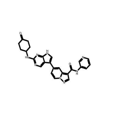 O=C1CCC(Nc2ncc3c(-c4ccn5ncc(C(=O)Nc6cccnc6)c5c4)c[nH]c3n2)CC1